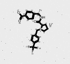 C[C@H](NC(=O)C1CCCN1Cc1ccc(C(F)(F)F)cc1)c1ccc(C(=O)[O-])cc1.[Li+]